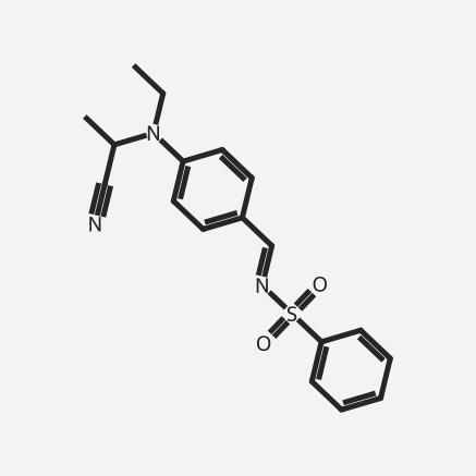 CCN(c1ccc(C=NS(=O)(=O)c2ccccc2)cc1)C(C)C#N